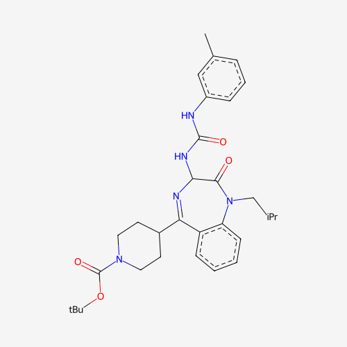 Cc1cccc(NC(=O)NC2N=C(C3CCN(C(=O)OC(C)(C)C)CC3)c3ccccc3N(CC(C)C)C2=O)c1